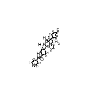 CC(C)(C(=O)N1CCC[C@H]1[C@@H](N)c1ccc(C(=O)Nc2ccncc2)cc1)c1ccc(F)cc1